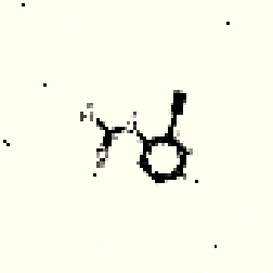 C#Cc1ccccc1OC(=O)CC